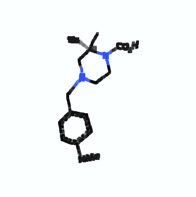 CNc1ccc(CN2CCN(C(=O)O)[C@@](C)(C(C)(C)C)C2)cc1